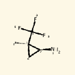 C[C@@]1(C(F)(F)F)C[C@@H]1N